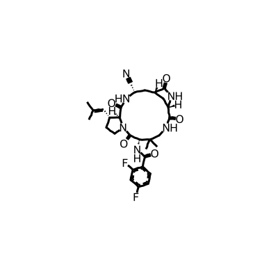 CC(C)=C[C@H]1CCN2C(=O)[C@@H](NC(=O)c3ccc(F)cc3F)C(C)(C)CNC(=O)[C@@H]3C[C@H](C[C@@H](C#N)NC(=O)[C@H]12)C(=O)N3